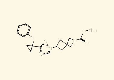 CC(C)(C)OC(=O)N1CC2(CC(n3cnc(C4(Oc5ccccc5)CC4)n3)C2)C1